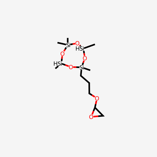 C[SiH]1O[Si](C)(C)O[SiH](C)O[Si](C)(CCCOC2CO2)O1